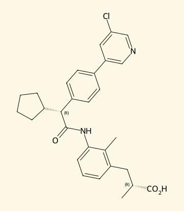 Cc1c(C[C@@H](C)C(=O)O)cccc1NC(=O)[C@@H](c1ccc(-c2cncc(Cl)c2)cc1)C1CCCC1